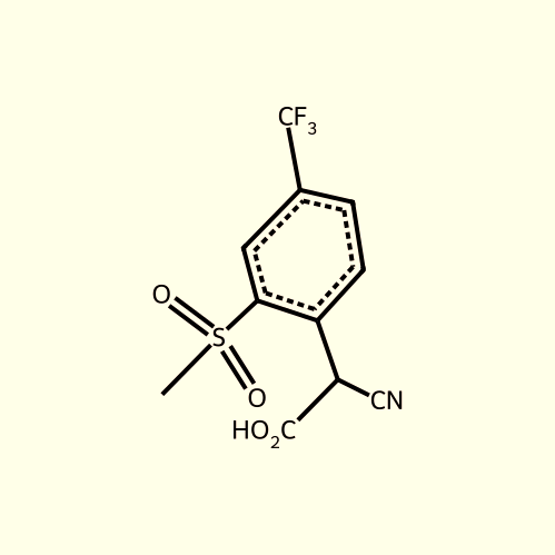 CS(=O)(=O)c1cc(C(F)(F)F)ccc1C(C#N)C(=O)O